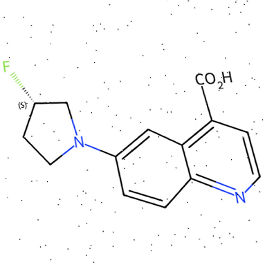 O=C(O)c1ccnc2ccc(N3CC[C@H](F)C3)cc12